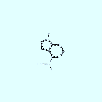 CC(C)n1ccc2c(N(C)N)ncnc21